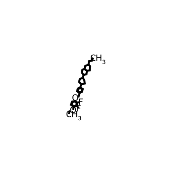 CCCC1CCC2CC(C3CCC(c4ccc(COc5ccc(OCC)c(F)c5F)cc4)CC3)CCC2C1